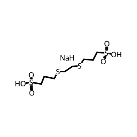 O=S(=O)(O)CCCSCCSCCCS(=O)(=O)O.[NaH]